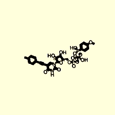 COc1ccc(P(=O)(O)OP(=O)(O)OP(=O)(O)OC[C@H]2O[C@@H](n3cc(C#Cc4ccc(C)cc4)c(=O)[nH]c3=O)[C@@H](O)C2O)cc1